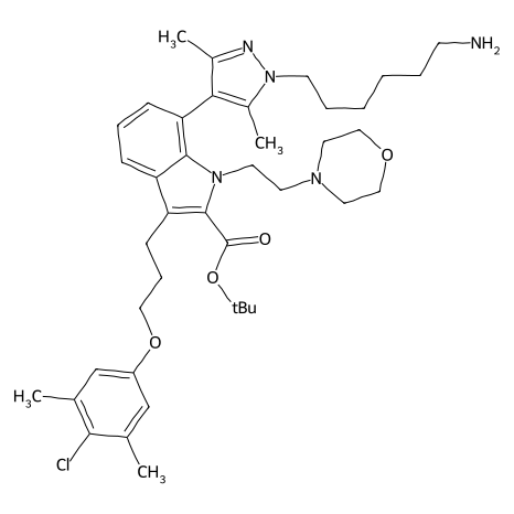 Cc1cc(OCCCc2c(C(=O)OC(C)(C)C)n(CCN3CCOCC3)c3c(-c4c(C)nn(CCCCCCN)c4C)cccc23)cc(C)c1Cl